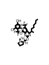 [2H]C([2H])(Oc1nc(C(C)CCCCCC)c2cc(C(F)(F)F)n(-c3cc(O)cc(Cl)c3C(F)(F)F)c(=O)c2n1)[C@@H]1CCCN1C